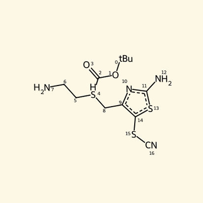 CC(C)(C)OC(=O)[SH](CCN)Cc1nc(N)sc1SC#N